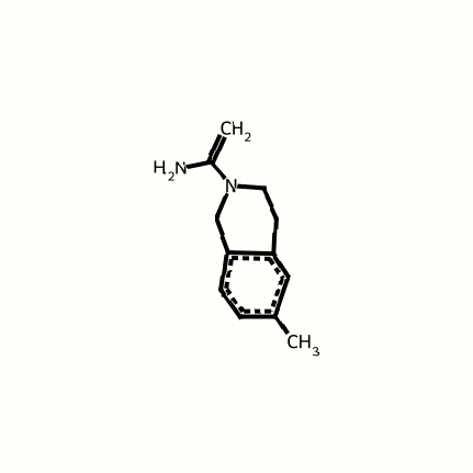 C=C(N)N1CCc2cc(C)ccc2C1